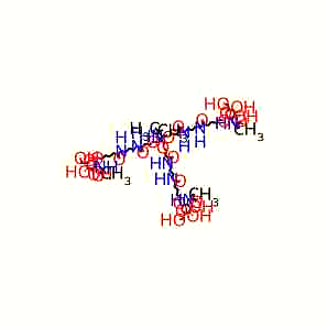 CC(=O)NC1C(O)[C@@H](O)C(CO)O[C@H]1OCCCCC(=O)NCCCNC(=O)CCOCC(COCCC(=O)NCCCNC(=O)CCCCO[C@@H]1OC(CO)[C@H](O)C(O)[C@@H]1NC(C)=O)(COCCC(=O)NCCCNC(=O)CCCCO[C@@H]1O[C@H](CO)[C@H](O)C(O)[C@@H]1NC(C)=O)NC(C)C